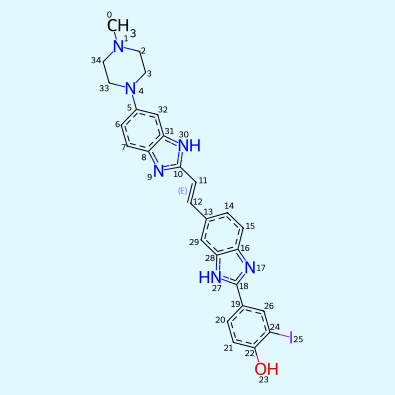 CN1CCN(c2ccc3nc(/C=C/c4ccc5nc(-c6ccc(O)c(I)c6)[nH]c5c4)[nH]c3c2)CC1